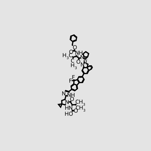 CC(C)C(NC(=O)O)C(=O)N1CC2(CC2)CC1c1ncc(-c2ccc3c(c2)C(F)(F)c2cc(C4=CC5=NN([C@H]6C7CCC(C7)N6C(=O)[C@@H](NC(=O)OCc6ccccc6)C(C)C)CC56C=CC=CC6=C4)ccc2-3)[nH]1